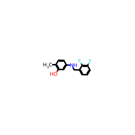 Cc1ccc(NCc2cccc(F)c2F)cc1O